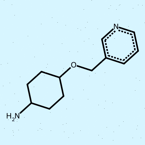 NC1CCC(OCc2cccnc2)CC1